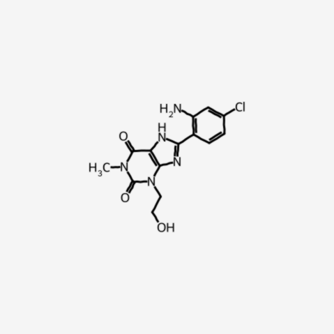 Cn1c(=O)c2[nH]c(-c3ccc(Cl)cc3N)nc2n(CCO)c1=O